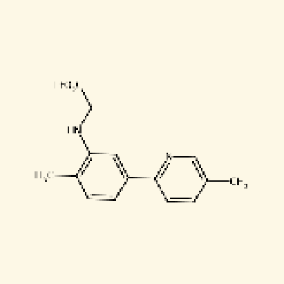 CCOC(=O)CNc1cc(-c2ccc(C)cn2)ccc1C